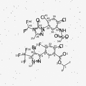 CC(C)OC(=O)c1cc(-c2nn(C)c(C(F)(F)F)c2Br)c(F)cc1Cl.Cc1nn(-c2cc(NS(C)(=O)=O)c(Cl)cc2Cl)c(=O)n1C(F)F